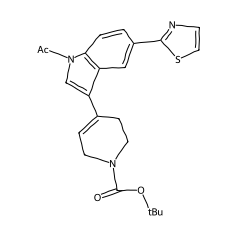 CC(=O)n1cc(C2=CCN(C(=O)OC(C)(C)C)CC2)c2cc(-c3nccs3)ccc21